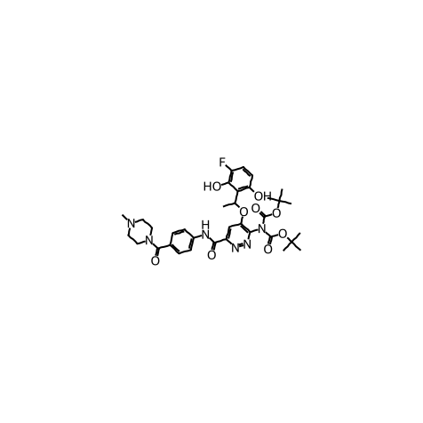 CC(Oc1cc(C(=O)Nc2ccc(C(=O)N3CCN(C)CC3)cc2)nnc1N(C(=O)OC(C)(C)C)C(=O)OC(C)(C)C)c1c(O)ccc(F)c1O